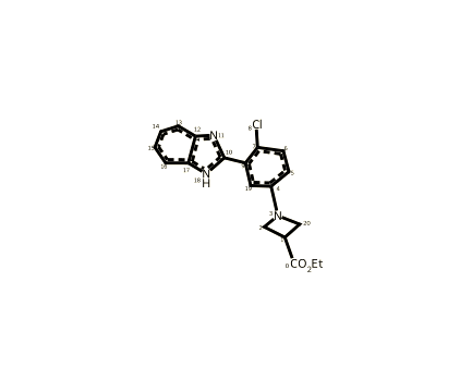 CCOC(=O)C1CN(c2ccc(Cl)c(-c3nc4ccccc4[nH]3)c2)C1